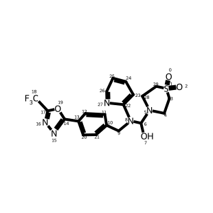 O=S1(=O)CCN(C(O)N(Cc2ccc(-c3nnc(C(F)(F)F)o3)cc2)c2ccccn2)CC1